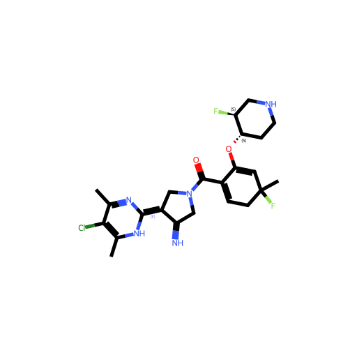 CC1=N/C(=C2\CN(C(=O)C3=CCC(C)(F)C=C3O[C@H]3CCNC[C@@H]3F)CC2=N)NC(C)=C1Cl